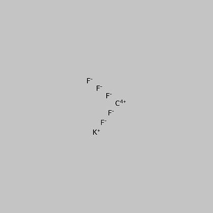 [C+4].[F-].[F-].[F-].[F-].[F-].[K+]